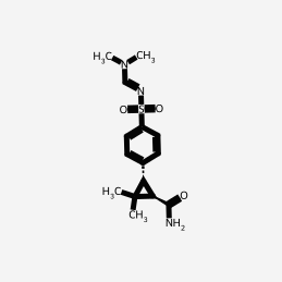 CN(C)/C=N/S(=O)(=O)c1ccc([C@@H]2[C@@H](C(N)=O)C2(C)C)cc1